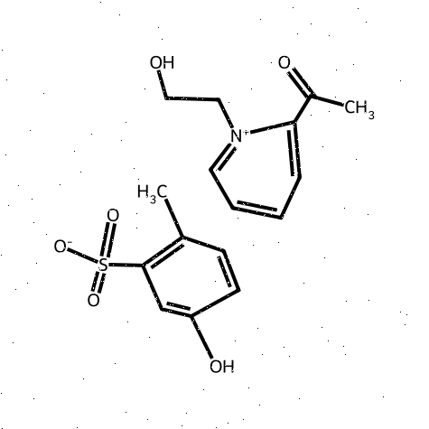 CC(=O)c1cccc[n+]1CCO.Cc1ccc(O)cc1S(=O)(=O)[O-]